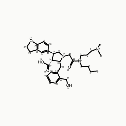 CCCCN(CCCN(C)C)C(=O)CN1C[C@H](c2ccc3c(c2)CCO3)[C@@H](C(=O)O)[C@@H]1Cc1ccccc1CO